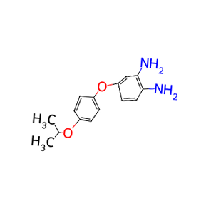 CC(C)Oc1ccc(Oc2ccc(N)c(N)c2)cc1